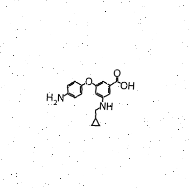 Nc1ccc(Oc2cc(NCC3CC3)cc(C(=O)O)c2)cc1